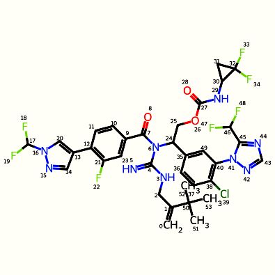 C=C(CNC(=N)N(C(=O)c1ccc(-c2cnn(C(F)F)c2)c(F)c1)C(COC(=O)NC1CC1(F)F)c1ccc(Cl)c(-n2ncnc2C(F)F)c1)C(C)(C)C